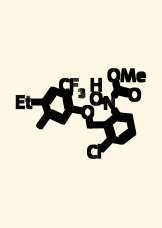 CCc1cc(C(F)(F)F)c(OCc2c(Cl)cccc2N(O)C(=O)OC)cc1C